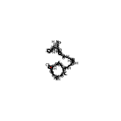 C/C=C(\C)[C@H]1OC(=O)[C@@H](C)NC(=O)[C@H](C(C)CC)NC(=O)CN(C)C(=O)[C@@H](Cc2ccc(Cl)cc2)N(C)C(=O)[C@H](C)NC(=O)[C@@H](CC(C)C)OC(=O)/C(C)=C/C[C@H](OC(=O)NCCCCCOP(=O)(O)OP(=O)(O)OCCCCCNC(=O)OCc2ccc(NC(=O)[C@@H](CCCNC(N)=O)NC(=O)[C@H](NC(=O)OC3CC/C=C/CCC3)C(C)C)cc2)[C@@H]1C